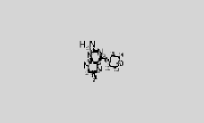 Cc1cnc2nc(N)nc(N3CCOCC3)c2n1